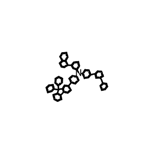 c1ccc(-c2cccc(-c3ccc(N(c4ccc(-c5ccc6c(c5)C(c5ccccc5)(c5ccccc5)c5ccccc5-6)cc4)c4cccc(-c5cccc6ccccc56)c4)cc3)c2)cc1